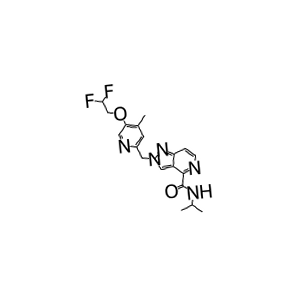 Cc1cc(Cn2cc3c(C(=O)NC(C)C)nccc3n2)ncc1OCC(F)F